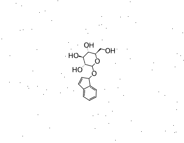 OC[C@H]1OC(OC2C=Cc3ccccc32)[C@H](O)[C@@H](O)[C@@H]1O